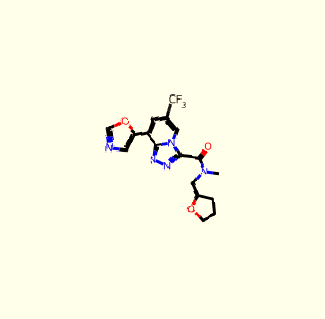 CN(CC1CCCO1)C(=O)c1nnc2c(-c3cnco3)cc(C(F)(F)F)cn12